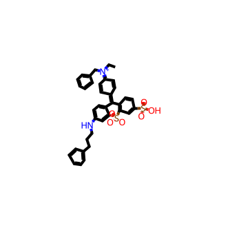 CC[N+](Cc1ccccc1)=C1C=CC(=C(c2ccc(NCCCc3ccccc3)cc2)c2ccc(S(=O)(=O)O)cc2S(=O)(=O)[O-])C=C1